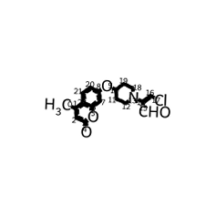 Cc1cc(=O)oc2cc(OC3CCN(C(C=O)=CCl)CC3)ccc12